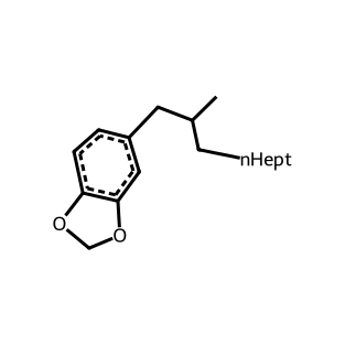 [CH2]CCCCCCCC(C)Cc1ccc2c(c1)OCO2